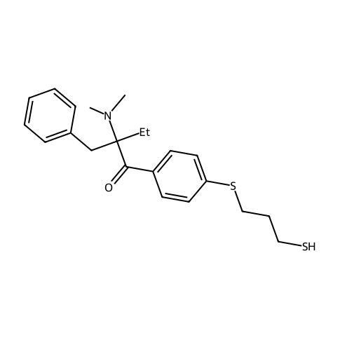 CCC(Cc1ccccc1)(C(=O)c1ccc(SCCCS)cc1)N(C)C